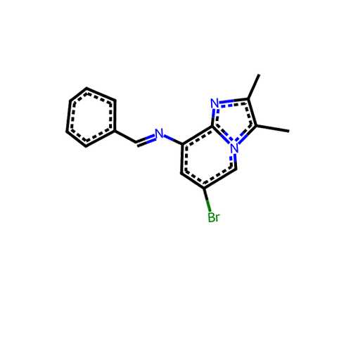 Cc1nc2c(/N=C/c3ccccc3)cc(Br)cn2c1C